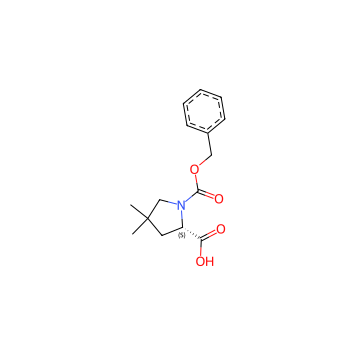 CC1(C)C[C@@H](C(=O)O)N(C(=O)OCc2ccccc2)C1